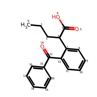 CCCC(C(=O)O)c1ccccc1C(=O)c1ccccc1